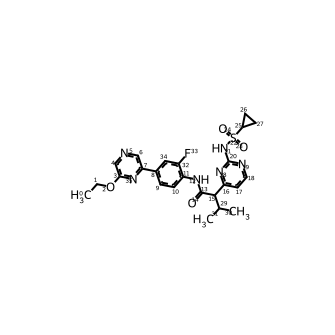 CCOc1cncc(-c2ccc(NC(=O)C(c3ccnc(NS(=O)(=O)C4CC4)n3)C(C)C)c(F)c2)n1